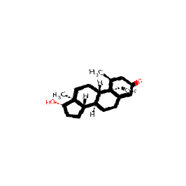 CC(=O)OC[C@@]12C(=CC(=O)C[C@@H]1C)CC[C@H]1[C@@H]3CC[C@H](O)[C@@]3(C)CC[C@@H]12